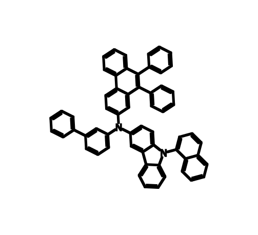 c1ccc(-c2cccc(N(c3ccc4c(c3)c(-c3ccccc3)c(-c3ccccc3)c3ccccc34)c3ccc4c(c3)c3ccccc3n4-c3cccc4ccccc34)c2)cc1